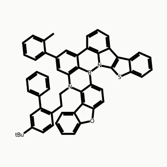 Cc1ccccc1-c1cc2c3c(c1)N(CCc1ccc(C(C)(C)C)cc1-c1ccccc1)c1c(ccc4oc5ccccc5c14)B3n1c3sc4ccccc4c3c3cccc-2c31